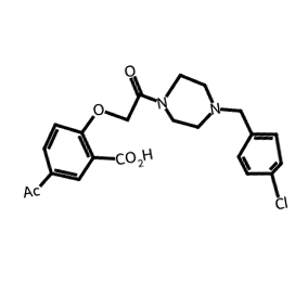 CC(=O)c1ccc(OCC(=O)N2CCN(Cc3ccc(Cl)cc3)CC2)c(C(=O)O)c1